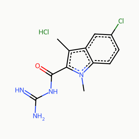 Cc1c(C(=O)NC(=N)N)n(C)c2ccc(Cl)cc12.Cl